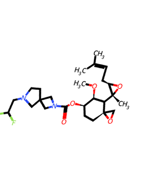 CO[C@H]1C([C@@]2(C)O[C@@H]2CC=C(C)C)[C@]2(CC[C@H]1OC(=O)N1CC3(CCN(CC(F)F)C3)C1)CO2